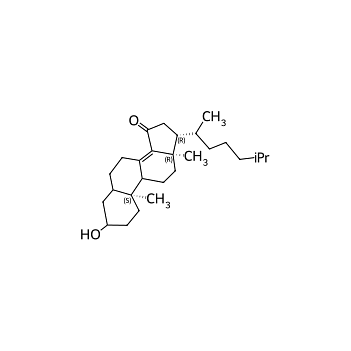 CC(C)CCCC(C)[C@H]1CC(=O)C2=C3CCC4CC(O)CC[C@]4(C)C3CC[C@@]21C